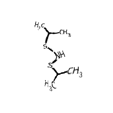 CC(C)SNSC(C)C